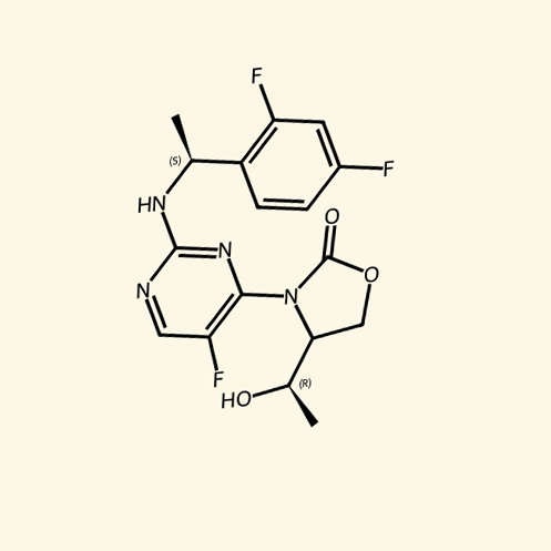 C[C@H](Nc1ncc(F)c(N2C(=O)OCC2[C@@H](C)O)n1)c1ccc(F)cc1F